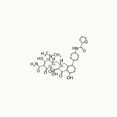 CN(C)[C@@H]1C(O)=C(C(N)=O)C(=O)[C@@]2(O)C(O)=C3C(=O)c4c(O)ccc(-c5ccc(NC(=O)c6ccco6)cc5)c4C[C@H]3C[C@@H]12